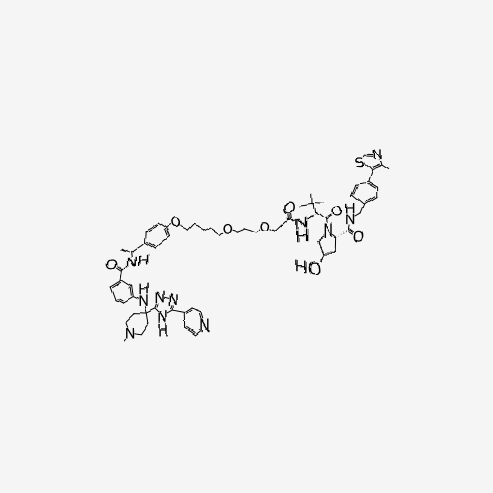 Cc1ncsc1-c1ccc(CNC(=O)[C@@H]2C[C@@H](O)CN2C(=O)[C@@H](NC(=O)COCCCOCCCCCOc2ccc([C@H](C)NC(=O)c3cccc(NC4(c5nnc(-c6ccncc6)[nH]5)CCN(C)CC4)c3)cc2)C(C)(C)C)cc1